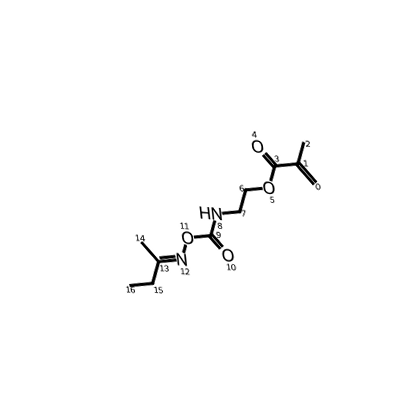 C=C(C)C(=O)OCCNC(=O)O/N=C(\C)CC